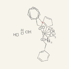 Cl.Cl.Cl.[CH3][Ti]([CH3])([CH3])([CH3])([CH3])([O]Cc1ccccc1)([O]Cc1ccccc1)([O]Cc1ccccc1)[C]1=CC=CC1